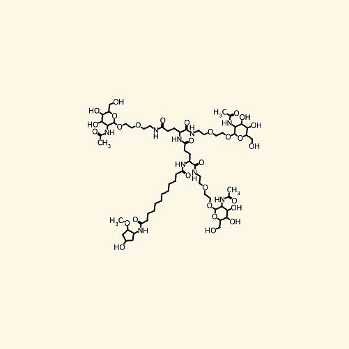 COC1CC(O)CC1NC(=O)CCCCCCCCCCC(=O)NC(CCC(=O)NC(CCC(=O)NCCOCCOC1OC(CO)C(O)C(O)C1NC(C)=O)C(=O)NCCOCCOC1OC(CO)C(O)C(O)C1NC(C)=O)C(=O)NCCOCCOC1OC(CO)C(O)C(O)C1NC(C)=O